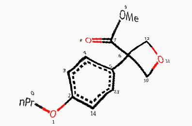 CCCOc1ccc(C2(C(=O)OC)COC2)cc1